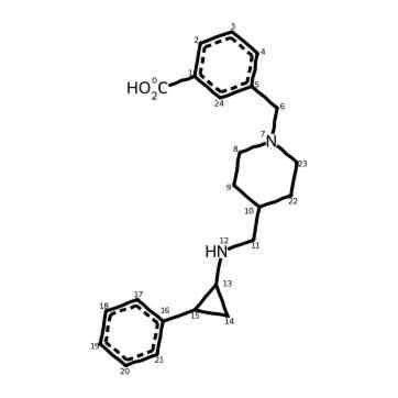 O=C(O)c1cccc(CN2CCC(CNC3CC3c3ccccc3)CC2)c1